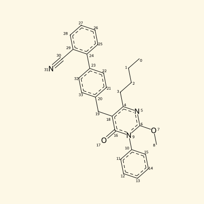 CCCCc1nc(OC)n(-c2ccccc2)c(=O)c1Cc1ccc(-c2ccccc2C#N)cc1